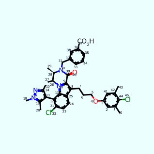 Cc1cc(OCCCc2c3n(c4c(-c5c(C)nn(C)c5C)c(Cl)ccc24)C(C)[C@@H](C)N(Cc2cccc(C(=O)O)c2)C3=O)cc(C)c1Cl